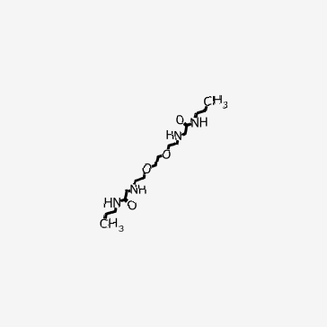 CCCNC(=O)CNCCOCCOCCNCC(=O)NCCC